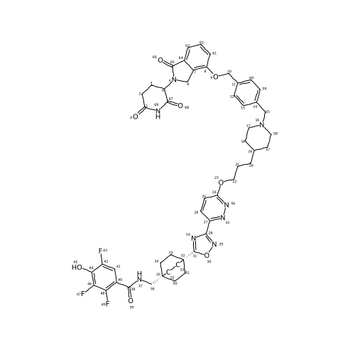 O=C1CCC(N2Cc3c(OCc4ccc(CN5CCC(CCCOc6ccc(-c7noc([C@]89CC[C@](CNC(=O)c%10cc(F)c(O)c(F)c%10F)(CC8)CC9)n7)nn6)CC5)cc4)cccc3C2=O)C(=O)N1